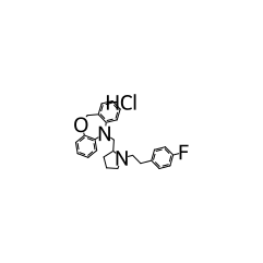 Cl.Fc1ccc(CCN2CCCC2CN2c3ccccc3COc3ccccc32)cc1